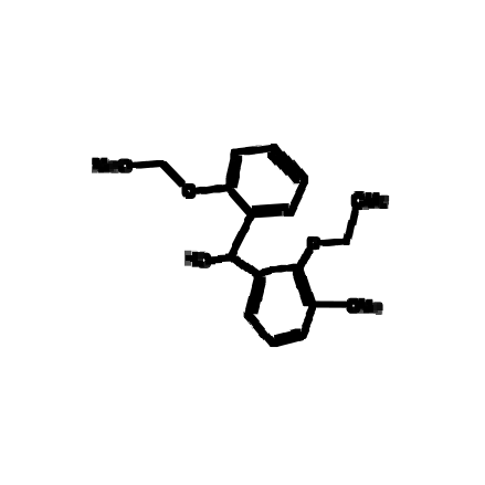 COCOc1ccccc1C(O)c1cccc(OC)c1OCOC